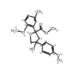 COC(=O)C1(c2cc(C)ccc2OC)CC(O)(c2ccc(OC)cc2)CO1